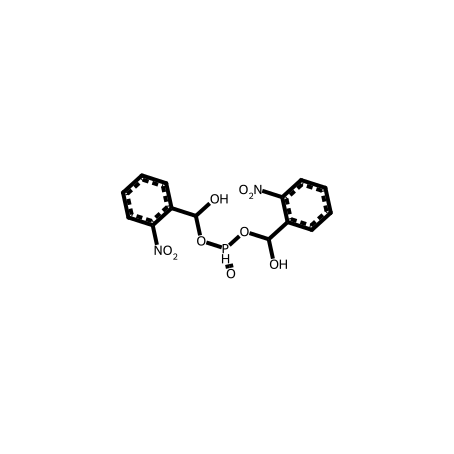 O=[N+]([O-])c1ccccc1C(O)O[PH](=O)OC(O)c1ccccc1[N+](=O)[O-]